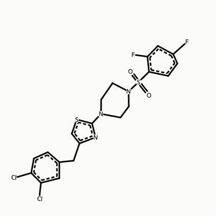 O=S(=O)(c1ccc(F)cc1F)N1CCN(c2nc(Cc3ccc(Cl)c(Cl)c3)cs2)CC1